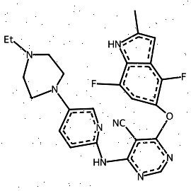 CCN1CCN(c2ccc(Nc3ncnc(Oc4cc(F)c5[nH]c(C)cc5c4F)c3C#N)nc2)CC1